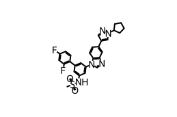 CS(=O)(=O)Nc1cc(-c2ccc(F)cc2F)cc(-n2cnc3cc(-c4cnn(C5CCCC5)c4)ccc32)c1